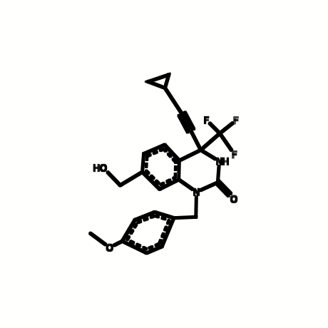 COc1ccc(CN2C(=O)NC(C#CC3CC3)(C(F)(F)F)c3ccc(CO)cc32)cc1